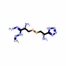 C=NN/C(=N\N)[C@@H](N)CSSC[C@H](N)c1nnn[nH]1